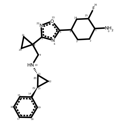 NC1CCC(c2nc(C3(CN[C@@H]4C[C@H]4c4ccccc4)CC3)no2)CC1F